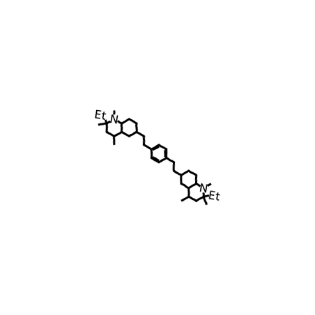 CCC1(C)CC(C)C2CC(CCc3ccc(CCC4CCC5C(C4)C(C)CC(C)(CC)N5C)cc3)CCC2N1C